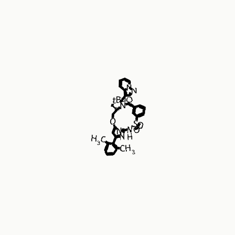 Cc1cccc(C)c1-c1cc2nc(n1)NS(=O)(=O)c1cccc(c1)C(=O)N(Cc1cnn3ccccc13)[C@H](CC(C)(C)C)CO2